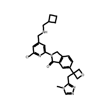 Cn1cnnc1CC1(c2ccc3c(c2)C(=O)N(c2cc(CNCC4CCC4)cc(Cl)n2)C3)COC1